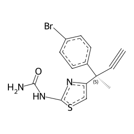 C#C[C@](C)(c1ccc(Br)cc1)c1csc(NC(N)=O)n1